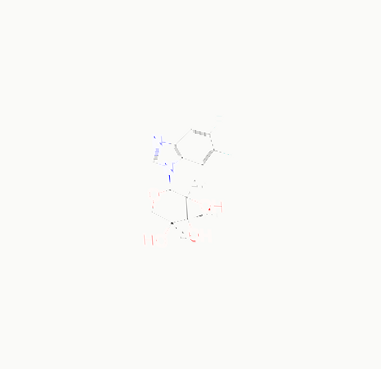 CC(=O)[C@@]1(O)[C@@](O)(C(C)=O)CO[C@@H](n2cnc3cc(F)c(F)cc32)[C@@]1(O)C(C)=O